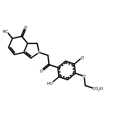 CCOC(=O)COc1cc(O)c(C(=O)CN2C=C3C=CC(C#N)C(=O)C3C2)cc1Cl